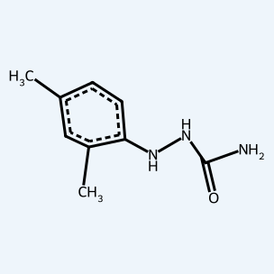 Cc1ccc(NNC(N)=O)c(C)c1